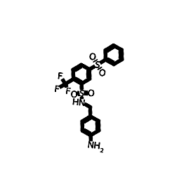 Nc1ccc(CNS(=O)(=O)c2cc(S(=O)(=O)c3ccccc3)ccc2C(F)(F)F)cc1